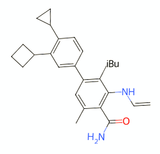 C=CNc1c(C(N)=O)c(C)cc(-c2ccc(C3CC3)c(C3CCC3)c2)c1C(C)CC